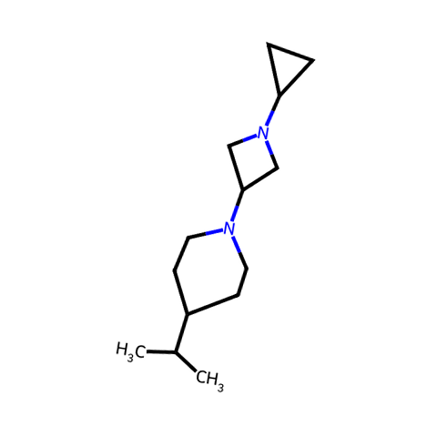 CC(C)C1CCN(C2CN(C3CC3)C2)CC1